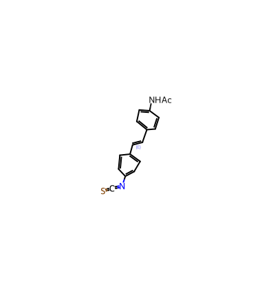 CC(=O)Nc1ccc(/C=C/c2ccc(N=C=S)cc2)cc1